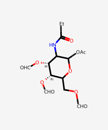 CCC(=O)NC1C(OC(C)=O)OC(COC=O)[C@H](OC=O)[C@@H]1OC=O